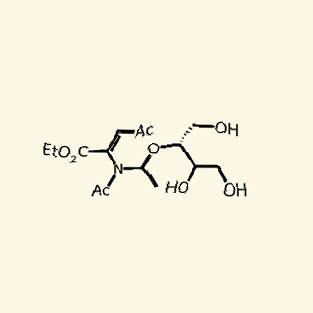 CCOC(=O)/C(=C/C(C)=O)N(C(C)=O)C(C)O[C@H](CO)C(O)CO